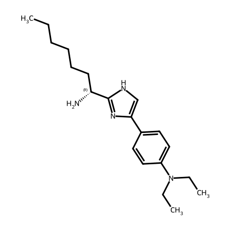 CCCCCC[C@@H](N)c1nc(-c2ccc(N(CC)CC)cc2)c[nH]1